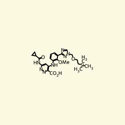 COc1c(Nc2cc(NC(=O)C3CC3)nnc2C(=O)O)cccc1-c1ncn(COCC[Si](C)(C)C)n1